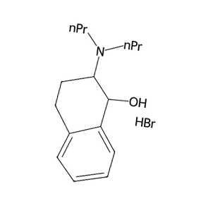 Br.CCCN(CCC)C1CCc2ccccc2C1O